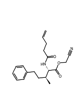 C=CCCC(=O)N[C@H](C(=O)OCC#N)[C@@H](C)CCc1ccccc1